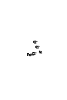 [Cl-].[Cl-].[Cl-].[Fe+3].[N]